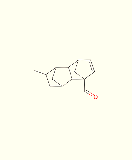 CC1CC2CC1C1C3C=CC(C=O)(C3)C21